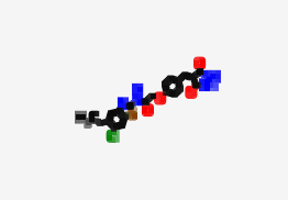 CCc1cc2nc(NC(=O)COc3ccc(C=C4C(=O)NNC4=O)cc3)sc2cc1Cl